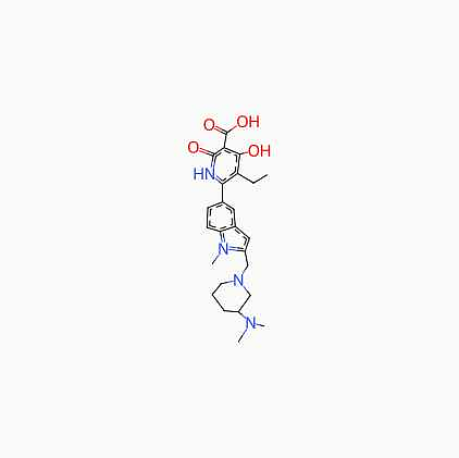 CCc1c(-c2ccc3c(c2)cc(CN2CCCC(N(C)C)C2)n3C)[nH]c(=O)c(C(=O)O)c1O